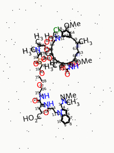 CNN(C)Cc1cc2ccccc2n1CCC(=O)N[C@@H](CCC(=O)O)C(=O)NCCOCCOCCS(=O)(=O)CCN(C)[C@@H](C)C(=O)O[C@H]1CC(=O)N(C)c2cc(cc(OC)c2Cl)C/C(C)=C/C=C/[C@@H](OC)[C@@]2(O)C[C@H](OC(=O)N2)[C@@H](C)[C@@H]2O[C@]12C